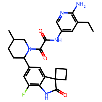 CCc1cc(NC(=O)C(=O)N2CC(C)CCC2c2cc(F)c3c(c2)C2(CCC2)C(=O)N3)cnc1N